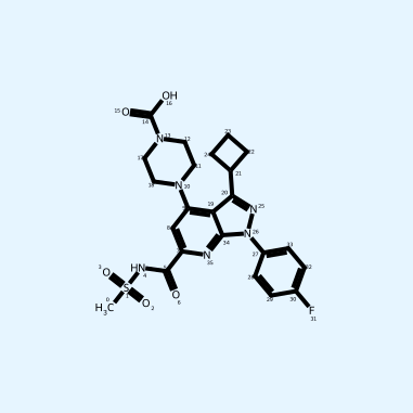 CS(=O)(=O)NC(=O)c1cc(N2CCN(C(=O)O)CC2)c2c(C3CCC3)nn(-c3ccc(F)cc3)c2n1